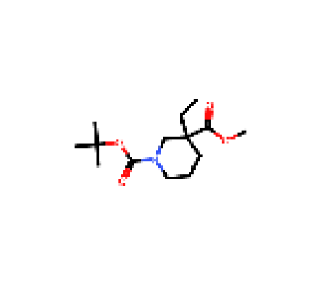 CCC1(C(=O)OC)CCCN(C(=O)OC(C)(C)C)C1